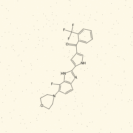 O=C(c1c[nH]c(-c2nc3ccc(N4CCOCC4)c(F)c3[nH]2)c1)c1ccccc1C(F)(F)F